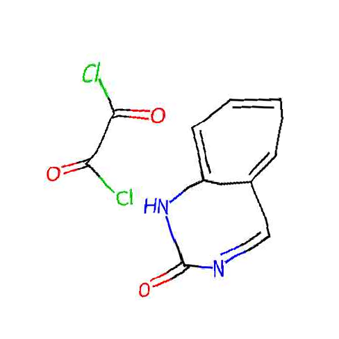 O=C(Cl)C(=O)Cl.O=c1ncc2ccccc2[nH]1